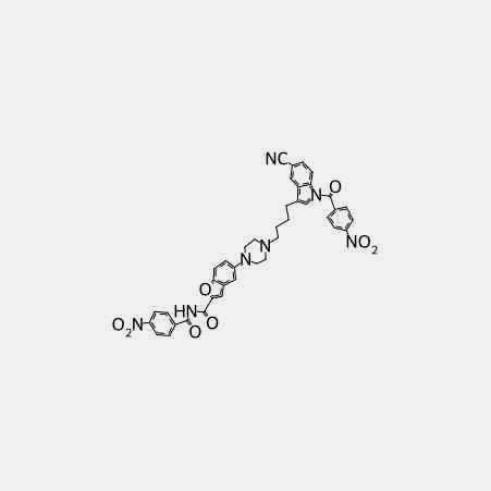 N#Cc1ccc2c(c1)c(CCCCN1CCN(c3ccc4oc(C(=O)NC(=O)c5ccc([N+](=O)[O-])cc5)cc4c3)CC1)cn2C(=O)c1ccc([N+](=O)[O-])cc1